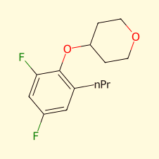 CCCc1cc(F)cc(F)c1OC1CCOCC1